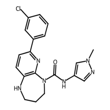 Cn1cc(NC(=O)N2CCCNc3ccc(-c4cccc(Cl)c4)nc32)cn1